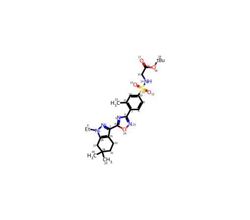 CCn1nc(-c2nc(-c3ccc(S(=O)(=O)NCC(=O)OC(C)(C)C)cc3C)no2)c2c1CC(C)(C)CC2